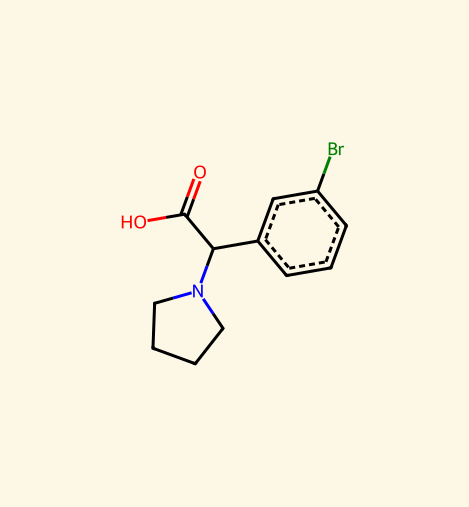 O=C(O)C(c1cccc(Br)c1)N1CCCC1